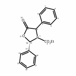 CCOC(=O)N1C(c2ccccc2)C(=O)O[C@H]1c1ccccc1